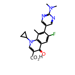 Cc1c(-c2cnc(N(C)C)nc2)c(F)cc2c(=O)c(C(=O)O)cn(C3CC3)c12